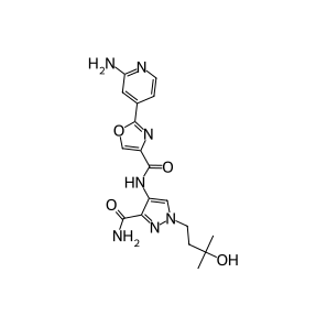 CC(C)(O)CCn1cc(NC(=O)c2coc(-c3ccnc(N)c3)n2)c(C(N)=O)n1